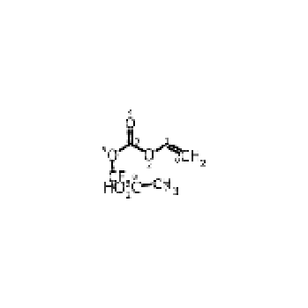 C=COC(=O)OC(F)(F)F.CC(=O)O